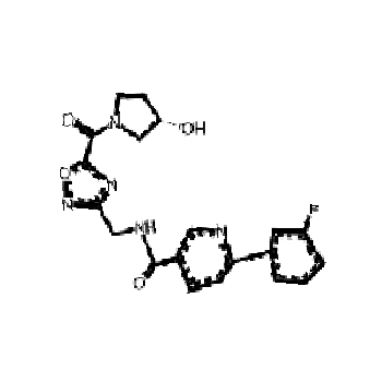 O=C(NCc1noc(C(=O)N2CC[C@H](O)C2)n1)c1ccc(-c2cccc(F)c2)nc1